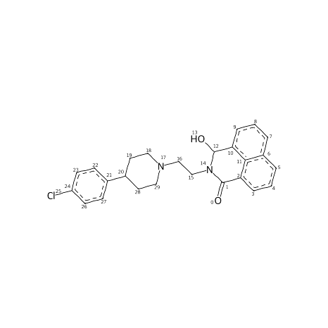 O=C1c2cccc3cccc(c23)C(O)N1CCN1CCC(c2ccc(Cl)cc2)CC1